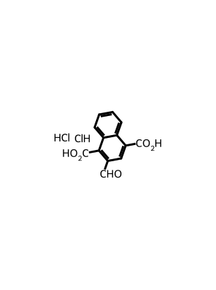 Cl.Cl.O=Cc1cc(C(=O)O)c2ccccc2c1C(=O)O